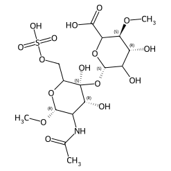 CO[C@@H]1OC(COS(=O)(=O)O)[C@@](O)(O[C@@H]2OC(C(=O)O)[C@@H](OC)[C@H](O)C2O)[C@H](O)C1NC(C)=O